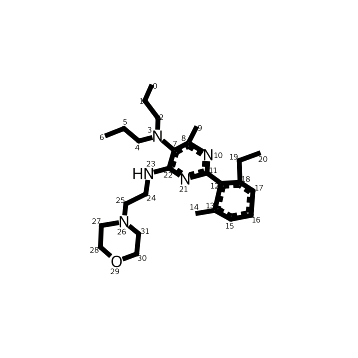 CCCN(CCC)c1c(C)nc(-c2c(C)cccc2CC)nc1NCCN1CCOCC1